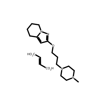 CN1CCN(CCCOc2cc3n(n2)CCCC3)CC1.O=C(O)C=CC(=O)O